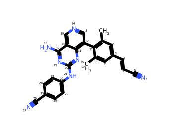 Cc1cc(C=CC#N)cc(C)c1-c1cncc2c(N)nc(Nc3ccc(C#N)cc3)nc12